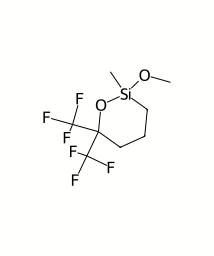 CO[Si]1(C)CCCC(C(F)(F)F)(C(F)(F)F)O1